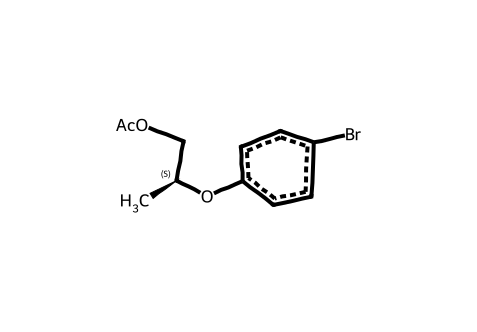 CC(=O)OC[C@H](C)Oc1ccc(Br)cc1